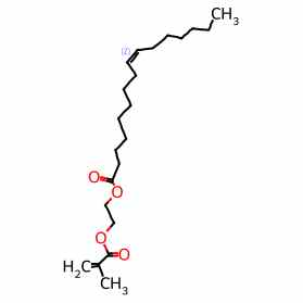 C=C(C)C(=O)OCCOC(=O)CCCCCCC/C=C\CCCCCC